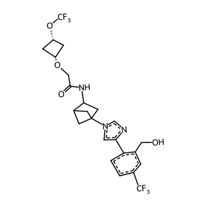 O=C(CO[C@H]1C[C@@H](OC(F)(F)F)C1)NC1CC2(n3cnc(-c4ccc(C(F)(F)F)cc4CO)c3)CC1C2